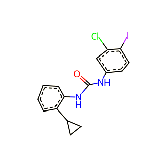 O=C(Nc1ccc(I)c(Cl)c1)Nc1ccccc1C1CC1